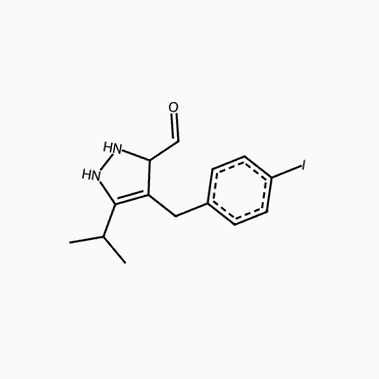 CC(C)C1=C(Cc2ccc(I)cc2)C(C=O)NN1